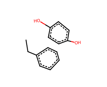 CCc1ccccc1.Oc1ccc(O)cc1